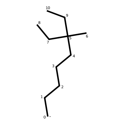 [CH2]CCCCC(C)(CC)CC